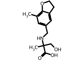 Cc1cc(CNC(C)(CO)C(=O)O)cc2c1OCC2